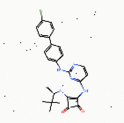 C[C@@H](Nc1c(Nc2ccnc(Nc3ccc(-c4ccc(Cl)cc4)cc3)n2)c(=O)c1=O)C(C)(C)C